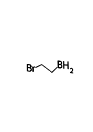 BCCBr